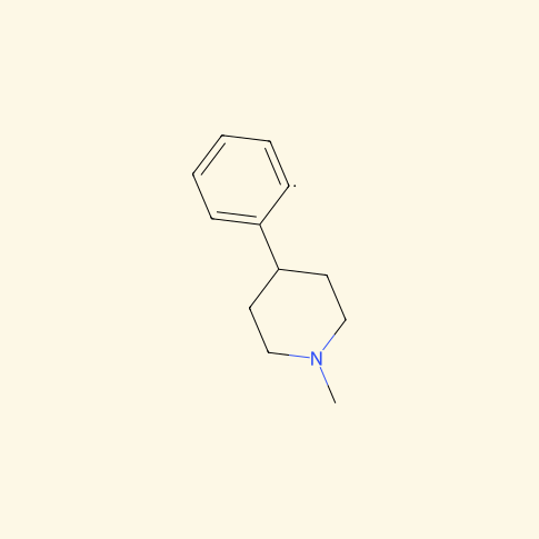 CN1CCC(c2[c]cccc2)CC1